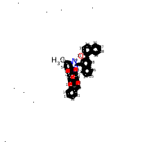 C\C1=C(c2ccc(-c3ccc4ccccc4c3)cc2)/N=C(c2c3ccccc3cc3c2oc2ccc4ccccc4c23)\N=C(\c2ccccc2)CC1